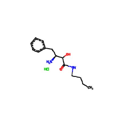 CCCCNC(=O)C(O)[C@@H](N)Cc1ccccc1.Cl